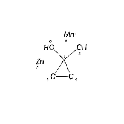 OC1(O)OO1.[Mn].[Zn]